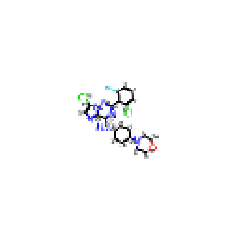 Fc1cccc(Cl)c1-c1nc(N[C@H]2CC[C@H](N3CCOCC3)CC2)c2ncc(Cl)n2n1